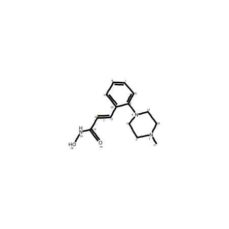 CN1CCN(c2ccccc2/C=C/C(=O)NO)CC1